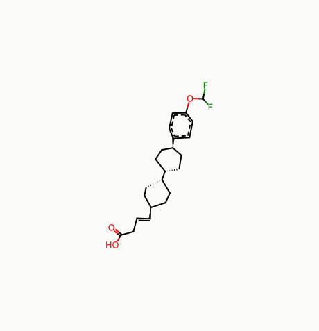 O=C(O)CC=C[C@H]1CC[C@H]([C@H]2CC[C@H](c3ccc(OC(F)F)cc3)CC2)CC1